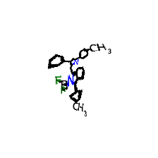 Cc1ccc(C2=N/C(=C\C3=C4C=CC=CC4C(c4ccc(C)cc4)N3B(F)F)C(c3ccccc3)=C2)cc1